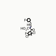 O=C(O)/C(=C\NCc1cccc(F)c1)C(=O)c1cc(F)c(Cl)nc1Cl